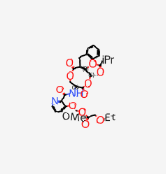 CCOCC(=O)OCOc1c(OC)ccnc1C(=O)N[C@H]1COC(=O)C(Cc2ccccc2)[C@@H](OC(=O)C(C)C)[C@H](C)OC1=O